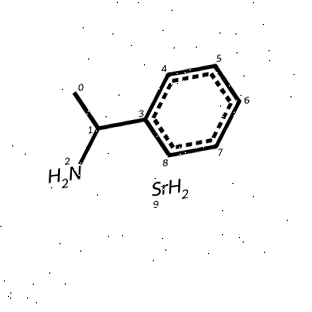 CC(N)c1ccccc1.[SrH2]